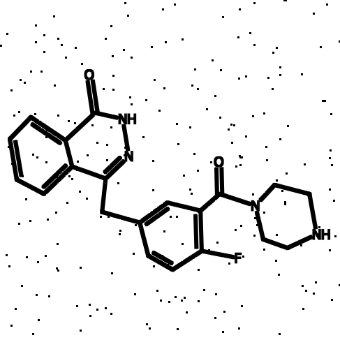 O=C(c1cc(Cc2n[nH]c(=O)c3ccccc23)ccc1F)N1CCNCC1